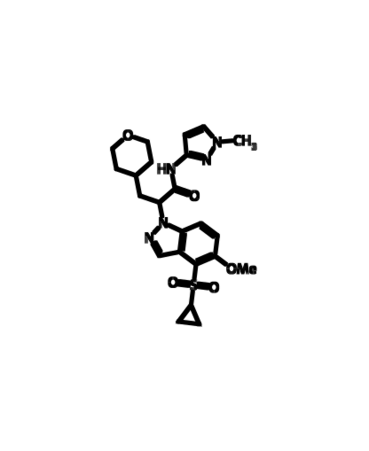 COc1ccc2c(cnn2C(CC2CCOCC2)C(=O)Nc2ccn(C)n2)c1S(=O)(=O)C1CC1